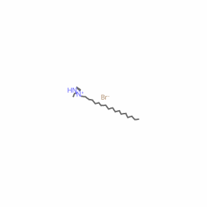 CCCCCCCCCCCCCCCCCC[n+]1cc[nH]c1C.[Br-]